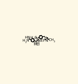 CCc1nc(C)cn1Cc1ccc2c(c1)nc(Cc1ccc(C(=N)N)cc1)n2C.Cl.Cl